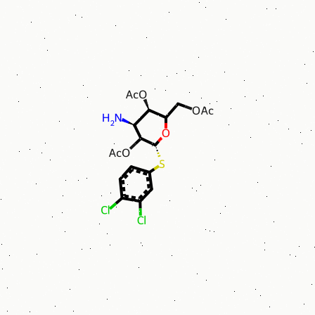 CC(=O)OCC1O[C@H](Sc2ccc(Cl)c(Cl)c2)C(OC(C)=O)[C@@H](N)[C@H]1OC(C)=O